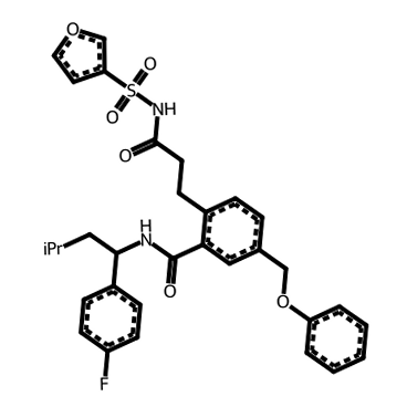 CC(C)CC(NC(=O)c1cc(COc2ccccc2)ccc1CCC(=O)NS(=O)(=O)c1ccoc1)c1ccc(F)cc1